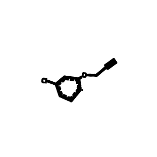 C#CCOc1[c]ccc(Cl)c1